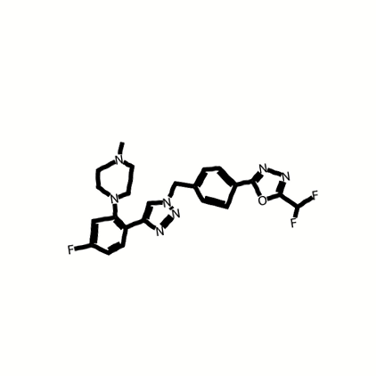 CN1CCN(c2cc(F)ccc2-c2cn(Cc3ccc(-c4nnc(C(F)F)o4)cc3)nn2)CC1